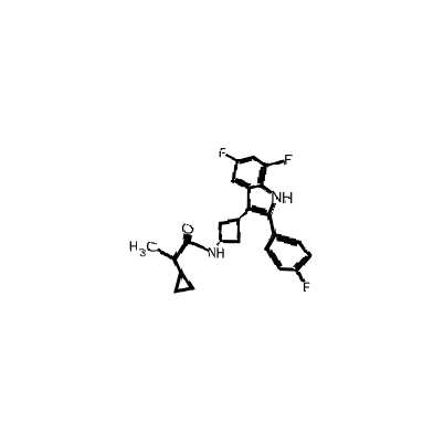 CC(C(=O)N[C@H]1C[C@H](c2c(-c3ccc(F)cc3)[nH]c3c(F)cc(F)cc32)C1)C1CC1